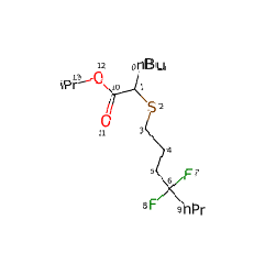 CCCCC(SCCCC(F)(F)CCC)C(=O)OC(C)C